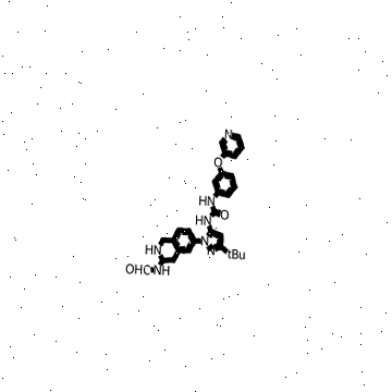 CC(C)(C)c1cc(NC(=O)Nc2cccc(Oc3cccnc3)c2)n(-c2ccc3c(c2)CC(NC=O)NC3)n1